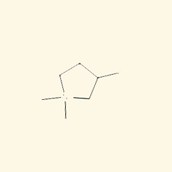 CCC1CC[N+](C)(C)C1